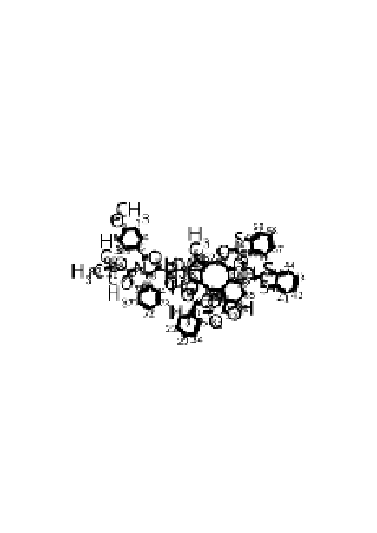 COc1ccc([C@H]2O[C@@H](C(=O)O[C@H]3C[C@@]4(O)[C@@H](OC(=O)c5ccccc5)[C@@H]5[C@]6(OC(C)=O)CO[C@@H]6C[C@H](OC6Sc7ccccc7S6)[C@@]5(C)C(=O)[C@H](OC5Sc6ccccc6S5)C(=C3C)C4(C)C)[C@H](c3ccccc3)N2C(=O)OC(C)(C)C)cc1